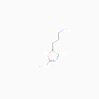 CSc1ncc(CCCN)o1.Cl